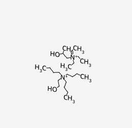 CCCC[N+](CCO)(CCCC)CCCC.CC[N+](CC)(CC)CC(C)O